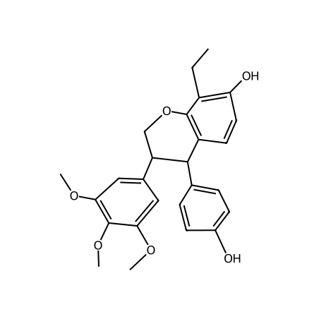 CCc1c(O)ccc2c1OCC(c1cc(OC)c(OC)c(OC)c1)C2c1ccc(O)cc1